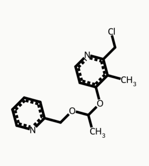 Cc1c(OC(C)OCc2ccccn2)ccnc1CCl